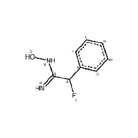 N=C(NO)C(F)c1ccccc1